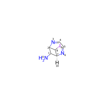 NC1C2N=CC=N[C@@H]1C2I